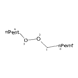 CCCCCCOOCCCCC